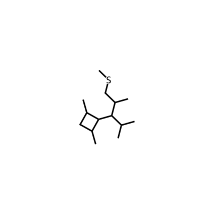 CSCC(C)C(C(C)C)C1C(C)CC1C